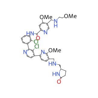 COCCNCc1cnc(C(=O)Nc2cccc(-c3nccc(-c4ccc(CNC[C@H]5CCC(=O)N5)c(OC)n4)c3Cl)c2Cl)cc1OC